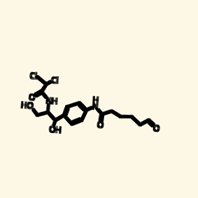 O=CCCCCC(=O)Nc1ccc(C(O)C(CO)NC(=O)C(Cl)Cl)cc1